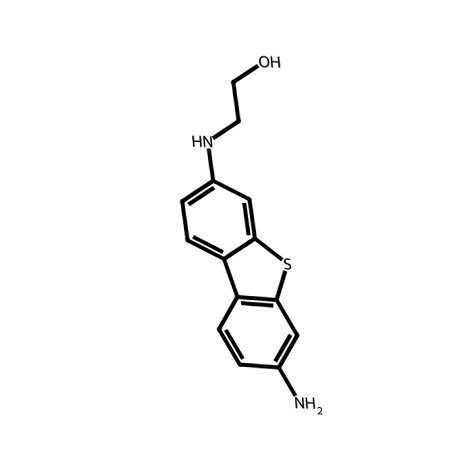 Nc1ccc2c(c1)sc1cc(NCCO)ccc12